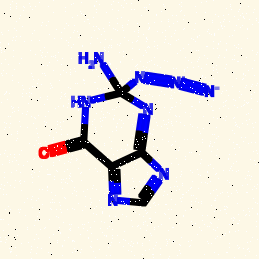 [N-]=[N+]=NC1(N)N=C2N=CN=C2C(=O)N1